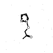 CC(=O)COn1cccn1